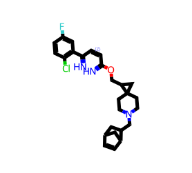 N=C(/C=C\C(=N)c1cc(F)ccc1Cl)OCC1CC12CCN(CC1CC3C=CC1C3)CC2